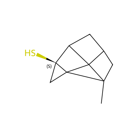 CC12CC3CC4C31C21C[C@]41S